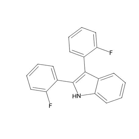 Fc1ccccc1-c1[nH]c2ccccc2c1-c1ccccc1F